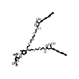 C#CC#CC#CC#CC(CC(=O)NCCOCCOCCOCCN(CCOCCOCCNC(=O)CC(C#CC#CC#CC#C)C(=O)O)c1ccc(/N=N/c2sc([N+](=O)[O-])cc2[N+](=O)[O-])c(C)c1)C(=O)O